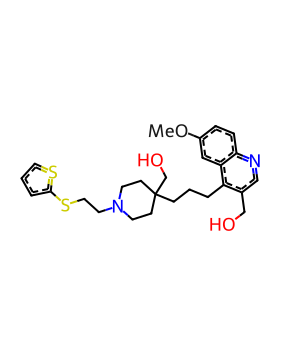 COc1ccc2ncc(CO)c(CCCC3(CO)CCN(CCSc4cccs4)CC3)c2c1